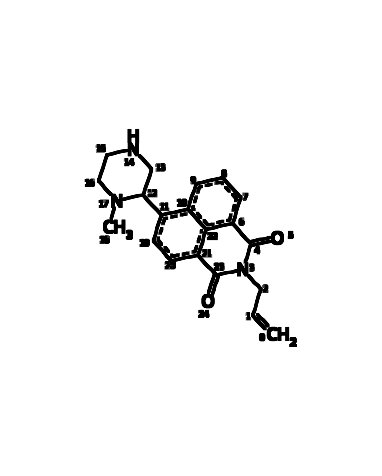 C=CCN1C(=O)c2cccc3c(C4CNCCN4C)ccc(c23)C1=O